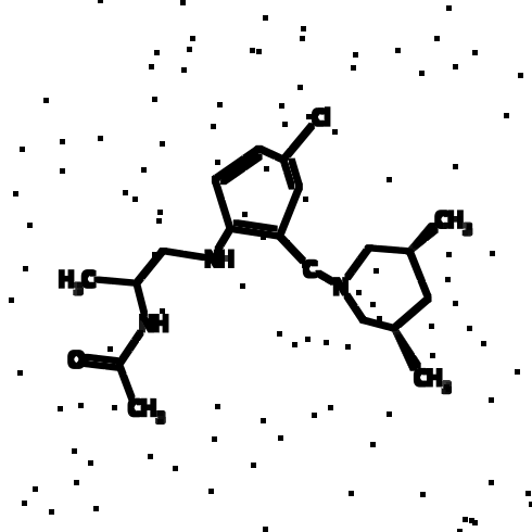 CC(=O)NC(C)CNc1ccc(Cl)cc1CN1C[C@H](C)C[C@H](C)C1